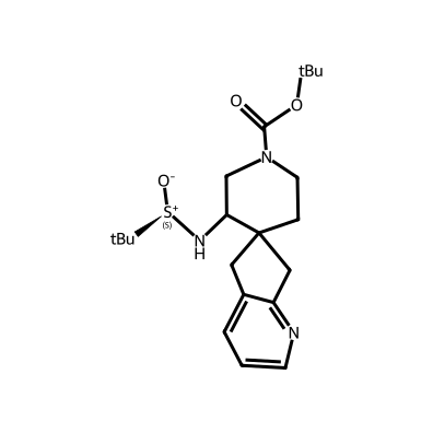 CC(C)(C)OC(=O)N1CCC2(Cc3cccnc3C2)C(N[S@+]([O-])C(C)(C)C)C1